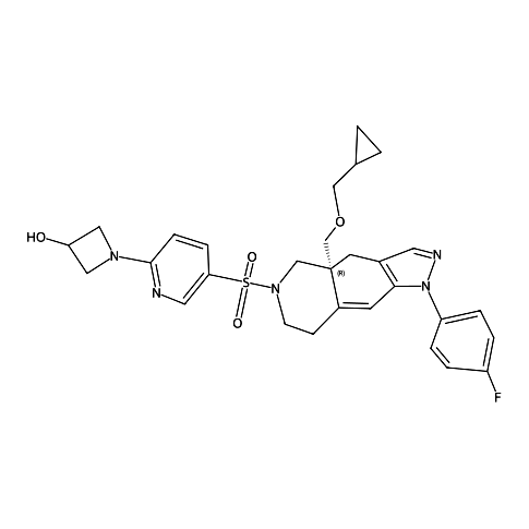 O=S(=O)(c1ccc(N2CC(O)C2)nc1)N1CCC2=Cc3c(cnn3-c3ccc(F)cc3)C[C@]2(COCC2CC2)C1